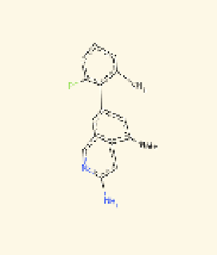 CNc1cc(-c2c(C)cccc2F)cc2cnc(N)cc12